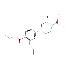 CCOC(=O)c1ccc(N2CCN(C(=O)O)[C@H](C)C2)cc1OCC